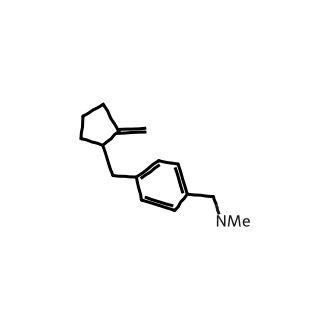 C=C1CCCC1Cc1ccc(CNC)cc1